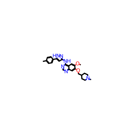 COc1cc2c(Nc3cc(-c4ccc(C)cc4)[nH]n3)ncnc2cc1OCC1CCN(C)CC1